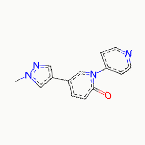 Cn1cc(-c2ccc(=O)n(-c3ccncc3)c2)cn1